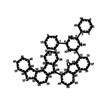 c1ccc(-c2nc(-c3ccccc3)nc(-c3cccc4c3oc3c(-n5c6ccccc6c6c7c(ccc65)sc5ccccc57)cccc34)n2)cc1